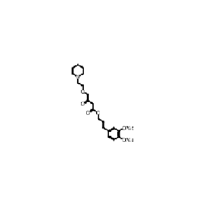 COc1ccc(CCCOC(=O)CC(=O)COCCN2CCCCC2)cc1OC